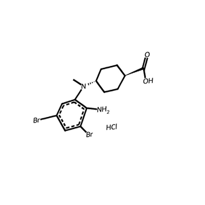 CN(c1cc(Br)cc(Br)c1N)[C@H]1CC[C@H](C(=O)O)CC1.Cl